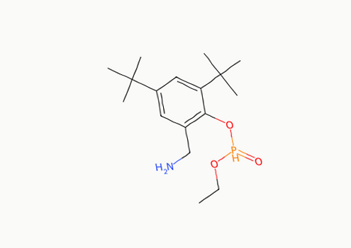 CCO[PH](=O)Oc1c(CN)cc(C(C)(C)C)cc1C(C)(C)C